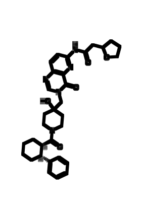 O=C(CC1CCCO1)Nc1ccc2ncn(CC3(O)CCN(C(=O)[C@@H]4CCCC[C@H]4c4ccccc4)CC3)c(=O)c2n1